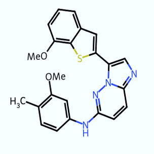 COc1cc(Nc2ccc3ncc(-c4cc5cccc(OC)c5s4)n3n2)ccc1C